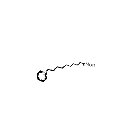 CCCCCCCCCCCCCCCCCC[si]1ccccc1